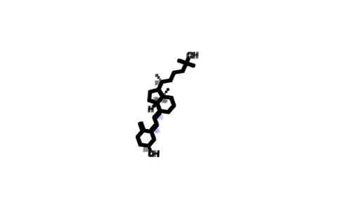 C=C1CC[C@H](O)C/C1=C/C=C1\CCC[C@]2(C)C([C@H](C)CCCC(C)(C)O)CC[C@@H]12